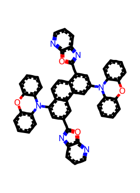 c1ccc2c(c1)Oc1ccccc1N2c1cc(-c2nc3cccnc3o2)c2ccc3c(N4c5ccccc5Oc5ccccc54)cc(-c4nc5cccnc5o4)cc3c2c1